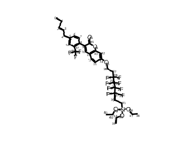 CCCCCc1ccc(-c2cc3ccc(OCCC(F)(F)C(F)(F)C(F)(F)C(F)(F)CC[Si](OCC)(OCC)OCC)cc3oc2=O)c(C(F)(F)F)c1